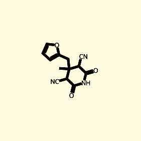 CC1(Cc2ccco2)C(C#N)C(=O)NC(=O)C1C#N